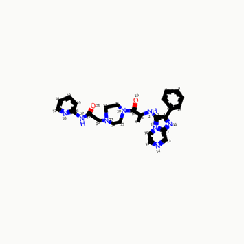 CC(Nc1c(-c2ccccc2)nc2cnccn12)C(=O)N1CCN(CC(=O)Nc2ccccn2)CC1